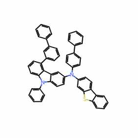 c1ccc(-c2ccc(N(c3ccc4c(c3)sc3ccccc34)c3ccc4c(c3)c3c(-c5cccc(-c6ccccc6)c5)cccc3n4-c3ccccc3)cc2)cc1